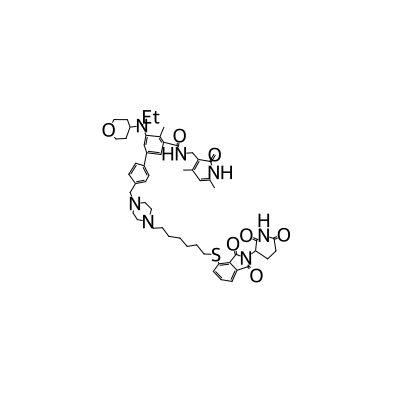 CCN(c1cc(-c2ccc(CN3CCN(CCCCCCCSc4cccc5c4C(=O)N(C4CCC(=O)NC4=O)C5=O)CC3)cc2)cc(C(=O)NCc2c(C)cc(C)[nH]c2=O)c1C)C1CCOCC1